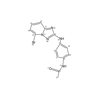 CC(=O)Nc1ccc(Nc2nc3cccc(Br)n3n2)cc1